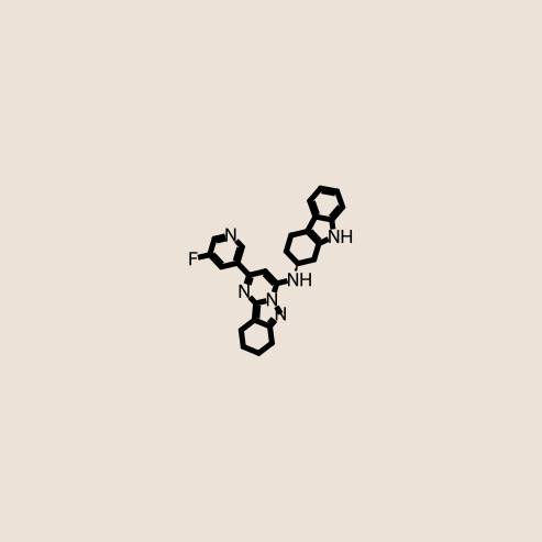 Fc1cncc(-c2cc(N[C@@H]3CCc4c([nH]c5ccccc45)C3)n3nc4c(c3n2)CCCC4)c1